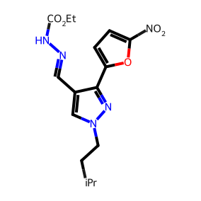 CCOC(=O)NN=Cc1cn(CCC(C)C)nc1-c1ccc([N+](=O)[O-])o1